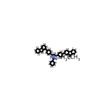 CC1(C)c2ccccc2-c2ccc(-c3ccc(-c4cc(-c5ccc(-c6cccc7c6Cc6ccccc6-7)cc5)nc(-c5ccccc5)n4)cc3)cc21